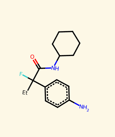 CCC(F)(C(=O)NC1CCCCC1)c1ccc(N)cc1